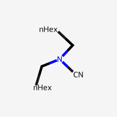 CCCCCCCN(C#N)CCCCCCC